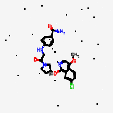 COc1cnc(O[C@@H]2CCN(C(=O)CNc3ccc(C(N)=O)cc3)C2)c2cc(Cl)ccc12